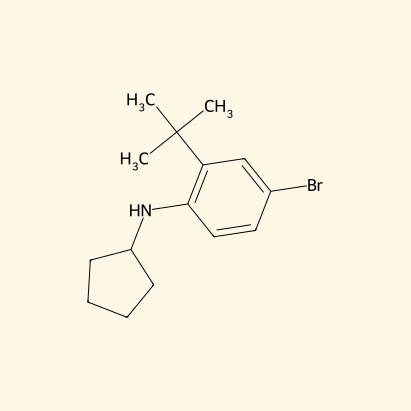 CC(C)(C)c1cc(Br)ccc1NC1CCCC1